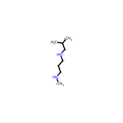 CNCC[CH]NCC(C)C